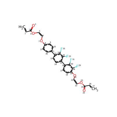 C=CC(=O)O/C=C\Oc1ccc(-c2ccc(-c3ccc(O/C=C\OC(=O)C=C)c(F)c3F)c(F)c2F)cc1